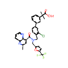 Cc1cc(C(=O)N(Cc2ccc(C(F)(F)F)o2)Cc2ccc(-c3cccc(C(C)(C)C(=O)O)c3)cc2Cl)c2ncccc2n1